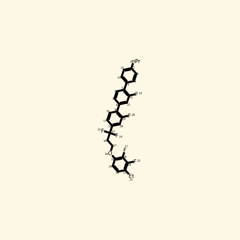 CCCc1ccc(-c2ccc(-c3ccc(C(F)(F)CCOc4ccc(CC)c(F)c4F)cc3F)cc2F)cc1